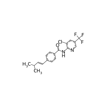 CC(C)/C=C/c1ccc(C(=O)Nc2ncc(C(F)(F)F)cc2Cl)cc1